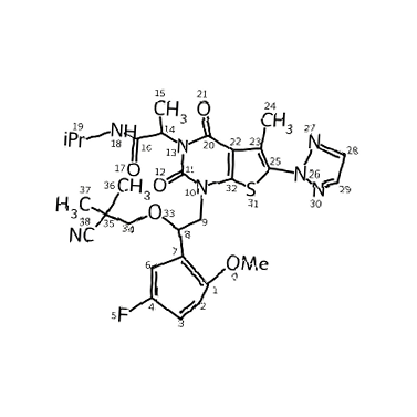 COc1ccc(F)cc1C(Cn1c(=O)n(C(C)C(=O)NC(C)C)c(=O)c2c(C)c(-n3nccn3)sc21)OCC(C)(C)C#N